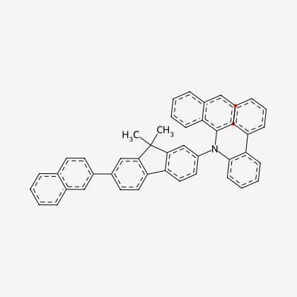 CC1(C)c2cc(-c3ccc4ccccc4c3)ccc2-c2ccc(N(c3ccccc3-c3ccccc3)c3cccc4ccccc34)cc21